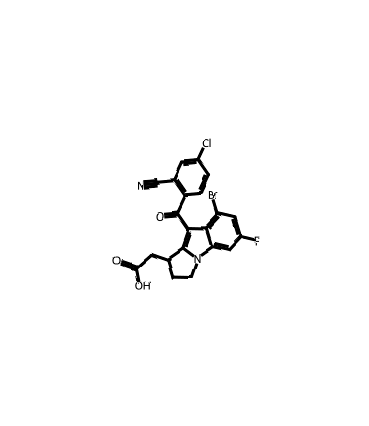 N#Cc1cc(Cl)ccc1C(=O)c1c2n(c3cc(F)cc(Br)c13)CCC2CC(=O)O